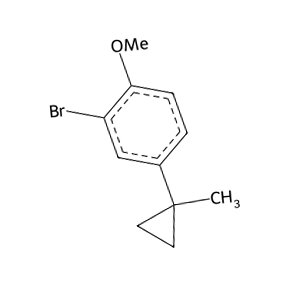 COc1ccc(C2(C)CC2)cc1Br